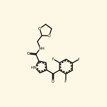 O=C(NCC1OCCO1)c1cc(C(=O)c2c(F)cc(F)cc2F)c[nH]1